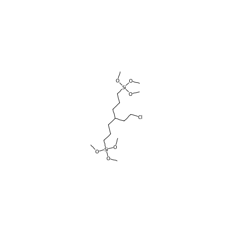 CO[Si](CCCC(CCCl)CCC[Si](OC)(OC)OC)(OC)OC